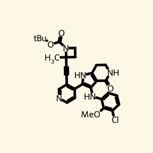 COc1c(Cl)cccc1Nc1c(-c2ccncc2C#CC2(C)CCN2C(=O)OC(C)(C)C)[nH]c2c1C(=O)NCC2